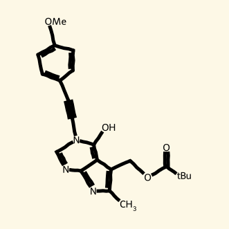 COc1ccc(C#Cn2cnc3nc(C)c(COC(=O)C(C)(C)C)c-3c2O)cc1